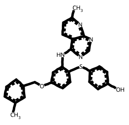 Cc1cccc(COc2ccc(Sc3ccc(O)cc3)c(Nc3ncnc4nc(C)ccc34)c2)c1